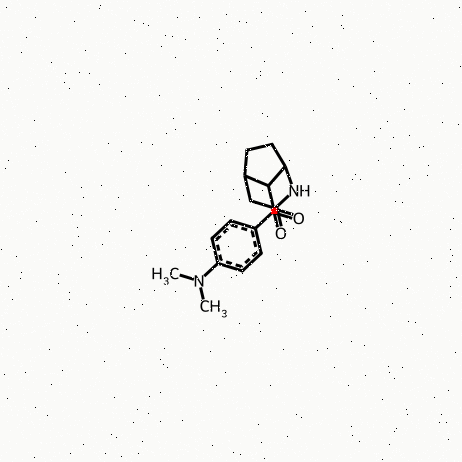 CN(C)c1ccc(C(=O)C2C3CCC2NC(=O)C3)cc1